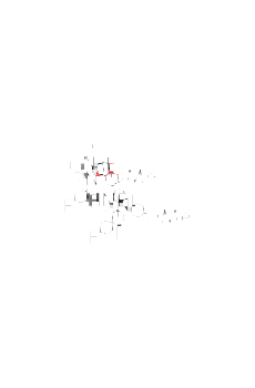 C=CCN(C(=O)[C@H](Cc1cc(F)cc(F)c1)NC(=O)c1cc(C(=O)N[C@@H](Cc2cc(F)cc(F)c2)C(=O)N(CC)c2ccc(OC)cc2)ccc1F)c1ccc(OC)cc1